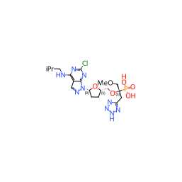 COC[C@@](Cc1nn[nH]n1)(OC[C@@H]1CC[C@H](n2ncc3c(NCC(C)C)nc(Cl)nc32)O1)P(=O)(O)O